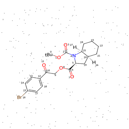 CC(C)(C)OC(=O)N1[C@H](C(=O)OCC(=O)c2ccc(Br)cc2)C[C@@H]2CCCC[C@@H]21